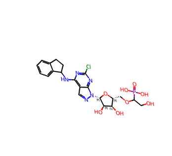 O=P(O)(O)C(CO)OC[C@H]1O[C@@H](n2ncc3c(NC4CCc5ccccc54)nc(Cl)nc32)[C@H](O)[C@@H]1O